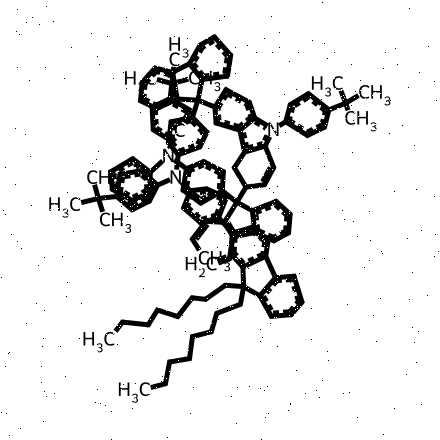 C=CC1=C(/C=C\C)C(c2ccc(N(c3ccccc3)c3ccc(C(C)(C)C)cc3)cc2)(C2C=Cc3c(c4cc(C5(c6ccc(N(c7ccc(-c8ccc9c(c8)C(CCCCCCCC)(CCCCCCCC)c8ccccc8-9)cc7)c7ccc(C(C)(C)C)cc7)cc6)c6ccccc6-c6ccccc65)ccc4n3-c3ccc(C(C)(C)C)cc3)C2)c2ccccc21